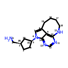 NC[C@@H]1CC[C@H](n2cc3c4c(ncnc42)NCCCC3)C1